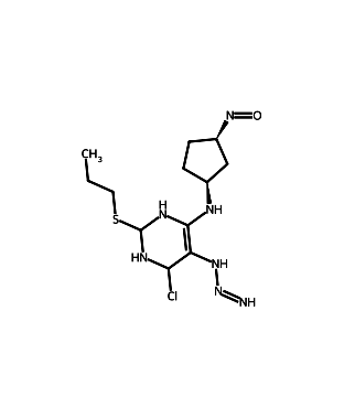 CCCSC1NC(N[C@H]2CC[C@@H](N=O)C2)=C(NN=N)C(Cl)N1